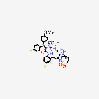 COC1CCC([C@H](c2ccc(F)cc2)[C@@H](C(=O)Nc2ccc(F)c(F)c2CC[C@H]2CN[C@@H]3CCCS(=O)(=O)N2C3)N(C)C(=O)O)CC1